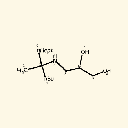 CCCCCCCC(C)(CCCC)NCC(O)CO